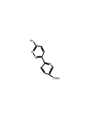 COc1ccc(-c2ccc(C(C)C)nn2)nc1